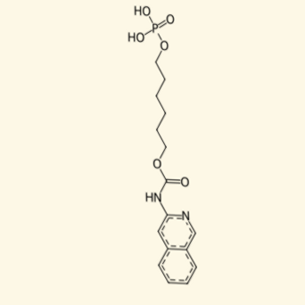 O=C(Nc1cc2ccccc2cn1)OCCCCCCOP(=O)(O)O